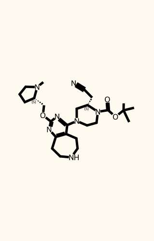 CN1CCC[C@H]1COc1nc2c(c(N3CCN(C(=O)OC(C)(C)C)[C@@H](CC#N)C3)n1)CCNCC2